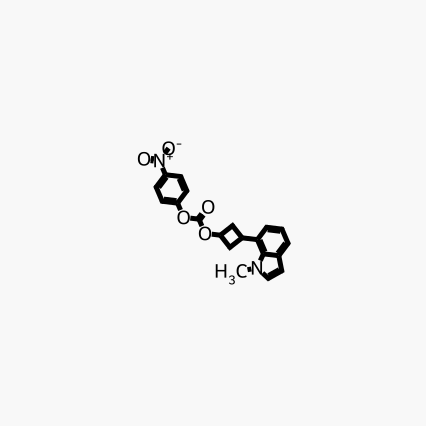 Cn1ccc2cccc(C3CC(OC(=O)Oc4ccc([N+](=O)[O-])cc4)C3)c21